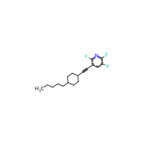 CCCCCC1CCC(C#Cc2cc(F)c(F)nc2F)CC1